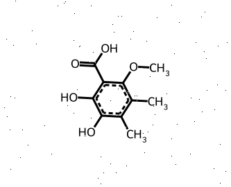 COc1c(C)c(C)c(O)c(O)c1C(=O)O